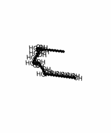 C=C/C=C/CC/C=C/C=C/C=C/CC/C=C/C(O)C(O)C1OC(C(O)C(O)C(=C)CCC(O)C2CC(O)C(O)C(C(O)C(O)/C=C(\C)CCC(O)CC(O)C(O)C(C)C(O)CCCC(O)CCCC(O)CCCC(O)/C=C/CC(O)/C=C/CC(O)CO)O2)CC(O)C1O